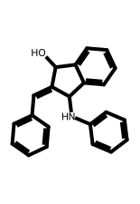 OC1/C(=C/c2ccccc2)C(Nc2ccccc2)c2ccccc21